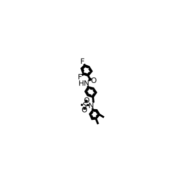 Cc1ccc(N(Cc2ccc(NC(=O)c3ccc(F)cc3F)cc2)S(C)(=O)=O)cc1C